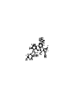 N#CN1C[C@H](F)C[C@@H]1C(=O)N(c1ccc(S(F)(F)(F)(F)F)cc1)C(CC(=O)NC1CCC(F)(F)CC1)c1cncc(F)c1